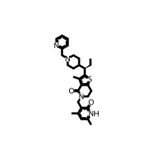 CC[C@@H](c1sc2c(c1C)C(=O)N(Cc1c(C)cc(C)[nH]c1=O)CC2)C1CCN(Cc2ccccn2)CC1